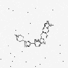 CN1CCC(n2cc(-c3ccc4ncc(Cc5cc6cnn(C)c6cc5F)n4n3)cn2)CC1